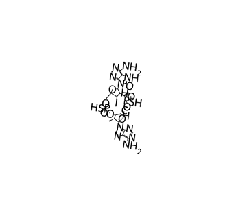 C=C1[C@@H]2C(I)C(COP(=O)(S)OC3[C@@H](CO[P@@]1(=O)S)O[C@@H](n1cnc4c(N)ncnc41)[C@H]3C)O[C@H]2n1c(=O)[nH]c2c(N)ncnc21